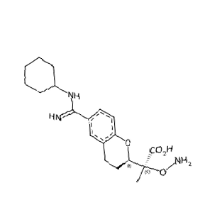 C[C@@](ON)(C(=O)O)[C@H]1CCc2cc(C(=N)NC3CCCCC3)ccc2O1